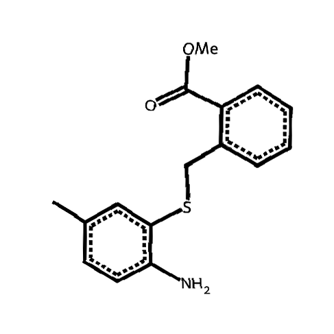 COC(=O)c1ccccc1CSc1cc(C)ccc1N